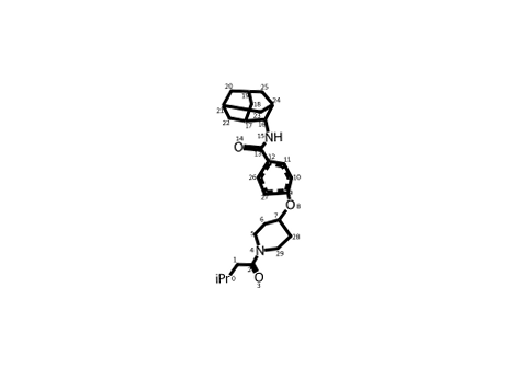 CC(C)CC(=O)N1CCC(Oc2ccc(C(=O)NC3C4CC5CC(C4)CC3C5)cc2)CC1